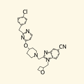 N#Cc1ccc2c(c1)nc(CN1CCC(Oc3ccnc(Cc4ccc(Cl)cc4)n3)CC1)n2CC1CCO1